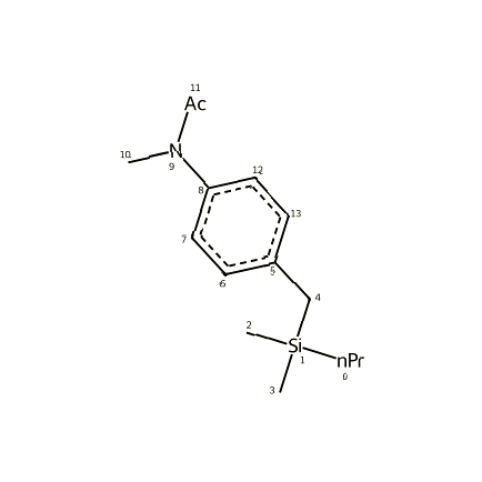 CCC[Si](C)(C)Cc1ccc(N(C)C(C)=O)cc1